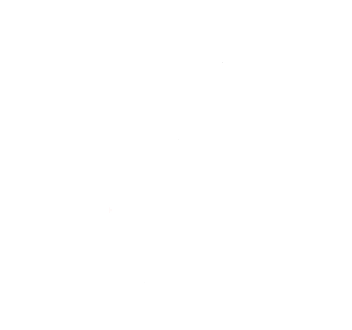 CC(=O)COc1cc(Cl)c(Cc2ccc(O)c(-c3cc(C)cc(F)c3)c2)c(Cl)c1